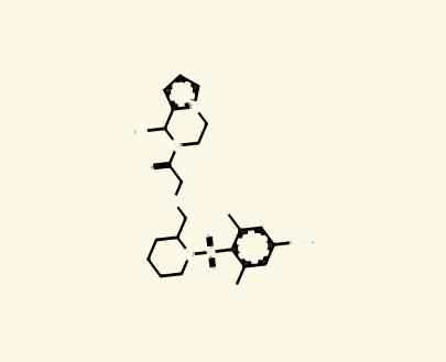 CCCC1c2cccn2CCN1C(=O)COCC1CCCCN1S(=O)(=O)c1c(C)cc(OC)cc1C